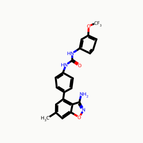 Cc1cc(-c2ccc(NC(=O)Nc3cccc(OC(F)(F)F)c3)cc2)c2c(N)noc2c1